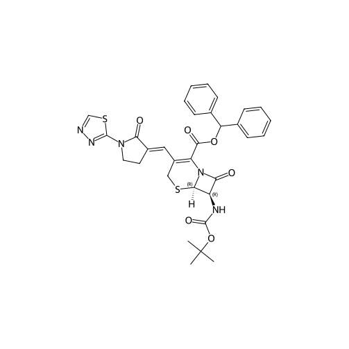 CC(C)(C)OC(=O)N[C@@H]1C(=O)N2C(C(=O)OC(c3ccccc3)c3ccccc3)=C(C=C3CCN(c4nncs4)C3=O)CS[C@H]12